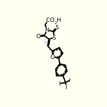 O=C(O)CN1C(=O)/C(=C/c2ccc(-c3ccc(C(I)(I)I)cc3)o2)SC1=S